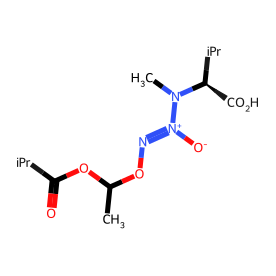 CC(ON=[N+]([O-])N(C)[C@H](C(=O)O)C(C)C)OC(=O)C(C)C